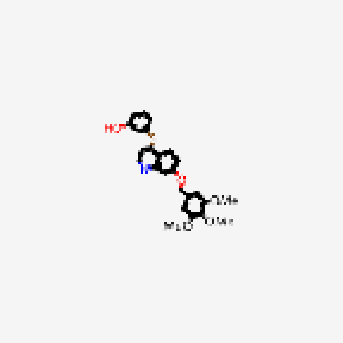 COc1cc(COc2ccc3c(Sc4cccc(O)c4)ccnc3c2)cc(OC)c1OC